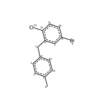 Cc1ccc(Cc2cc(Br)ccc2Cl)cc1